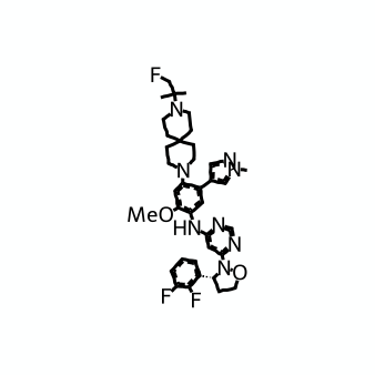 COc1cc(N2CCC3(CC2)CCN(C(C)(C)CF)CC3)c(-c2cnn(C)c2)cc1Nc1cc(N2OCC[C@@H]2c2cccc(F)c2F)ncn1